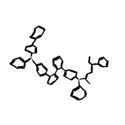 C=C/C(=C\C=C(/C)N(c1ccccc1)c1ccc(-c2ccccc2-c2ccccc2-c2ccc(N(c3ccccc3)c3ccc(-c4ccccc4)cc3)cc2)cc1)c1ccccc1